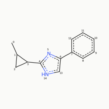 CC1CC1c1nc(-c2ccccc2)c[nH]1